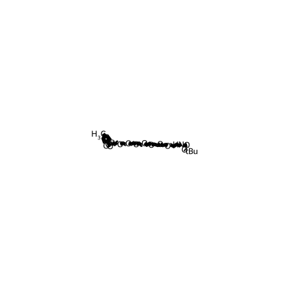 Cc1ccc(S(=O)(=O)OCCOCCOCCOCCOCCOCCOCCOCCCCNC(=O)OC(C)(C)C)cc1